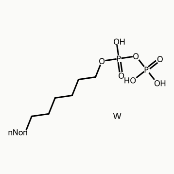 CCCCCCCCCCCCCCCOP(=O)(O)OP(=O)(O)O.[W]